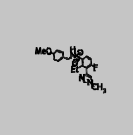 CCc1c(S(=O)(=O)NCc2ccc(OC)cc2)ccc(F)c1-c1cn(C)cn1